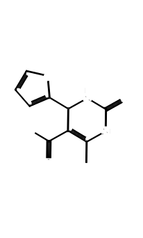 CC1=C(C(=O)O)C(c2cccs2)NC(=S)N1